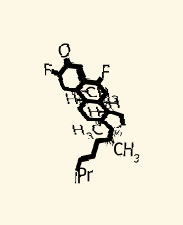 CC(C)CCC[C@@H](C)[C@H]1CC[C@H]2[C@@H]3CC(F)C4=CC(=O)C(F)C[C@]4(C)[C@H]3CC[C@]12C